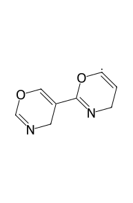 [C]1=CCN=C(C2=COC=NC2)O1